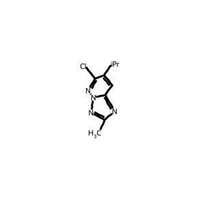 Cc1nc2cc(C(C)C)c(Cl)nn2n1